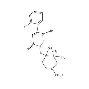 CC1(C)CN(C(=O)O)CCC1(O)Cn1cc(Br)c(-c2ccccc2F)cc1=O